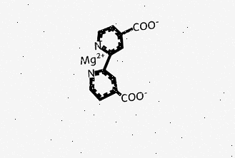 O=C([O-])c1ccnc(-c2cc(C(=O)[O-])ccn2)c1.[Mg+2]